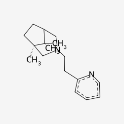 CC1(C)C2CC[C@]1(C)CN(CCc1ccccn1)C2